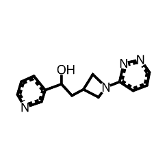 OC(CC1CN(c2cccnn2)C1)c1cccnc1